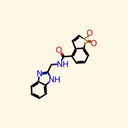 O=C(NCc1nc2ccccc2[nH]1)c1cccc2c1C=CS2(=O)=O